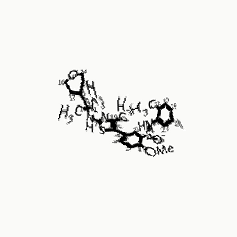 COc1ccc(-c2sc(NC(C)(C)C3CCOCC3)nc2C)cc1[S+]([O-])Nc1ccccc1C